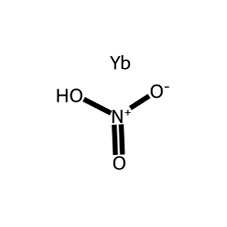 O=[N+]([O-])O.[Yb]